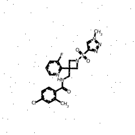 Cc1cc(Cl)ccc1C(=O)NCC1(c2ncccc2F)CN(S(=O)(=O)c2cn(C)nn2)C1